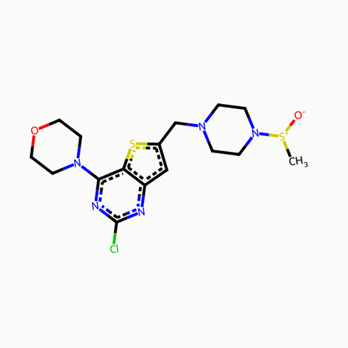 C[S+]([O-])N1CCN(Cc2cc3nc(Cl)nc(N4CCOCC4)c3s2)CC1